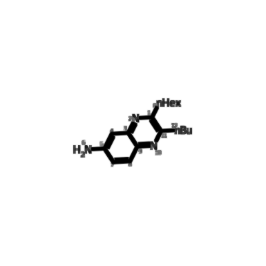 CCCCCCc1nc2cc(N)ccc2nc1CCCC